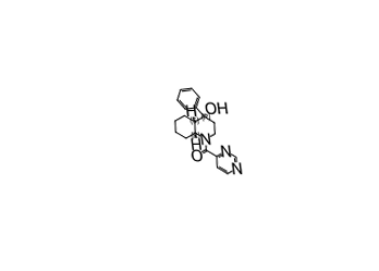 O=C(c1ccncn1)N1CC[C@](O)(c2ccccc2)[C@H]2CCCC[C@H]21